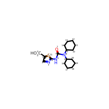 O=C(O)c1cnc(NC(=O)N(C2CCCCC2)C2CCCCC2)s1